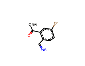 COC(=O)c1cc(Br)ccc1C=N